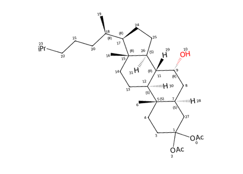 CC(=O)OC1(OC(C)=O)CC[C@@]2(C)[C@@H](C[C@@H](O)[C@@H]3[C@@H]2CC[C@]2(C)[C@@H]([C@H](C)CCCC(C)C)CC[C@@H]32)C1